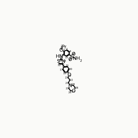 CC(C)Oc1ccc(S(N)(=O)=O)cc1Nc1nc(-c2ccc(OCCCN3CCOCC3)cc2)cs1